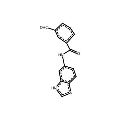 O=Cc1cccc(C(=O)Nc2ccc3nc[nH]c3c2)c1